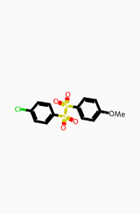 COc1ccc(S(=O)(=O)S(=O)(=O)c2ccc(Cl)cc2)cc1